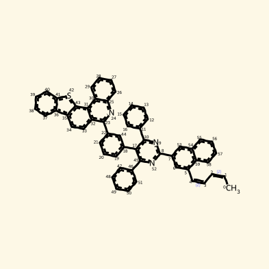 C/C=C\C=C/c1cc(-c2nc(-c3ccccc3)c(-c3cccc(-c4nc5ccccc5c5c4ccc4c6ccccc6sc45)c3)c(-c3ccccc3)n2)cc2ccccc12